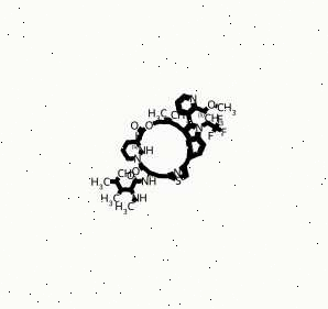 CNC(C(=O)N[C@H]1Cc2nc(cs2)-c2ccc3c(c2)c(c(-c2cccnc2[C@H](C)OC)n3CC(F)(F)F)CC(C)(C)COC(=O)[C@@H]2CCCN(N2)C1=O)C(C)C(C)C